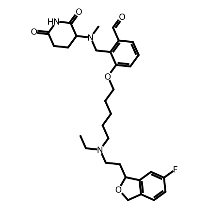 CCN(CCCCCOc1cccc(C=O)c1CN(C)C1CCC(=O)NC1=O)CCC1OCc2ccc(F)cc21